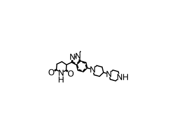 Cn1nc(C2CCC(=O)NC2=O)c2ccc(N3CCC(N4CCNCC4)CC3)cc21